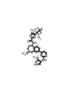 Cc1n[nH]cc1Nc1nccc(-c2ccc3c(c2)CN(C)CCC3NC(=O)c2nnc(C(C)(C)C(F)(F)F)o2)n1